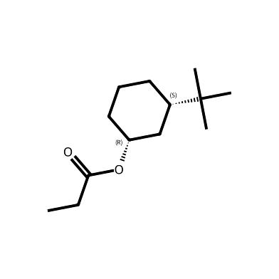 CCC(=O)O[C@@H]1CCC[C@H](C(C)(C)C)C1